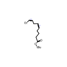 CC/C=C\C/C=C\CCCC(=O)OC(C)(C)C